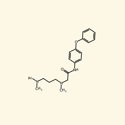 CC(=O)N(C)CCCN(C)CC(=O)Nc1ccc(Oc2ccccc2)cc1